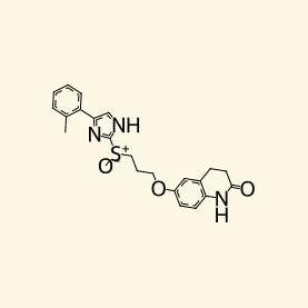 Cc1ccccc1-c1c[nH]c([S+]([O-])CCCOc2ccc3c(c2)CCC(=O)N3)n1